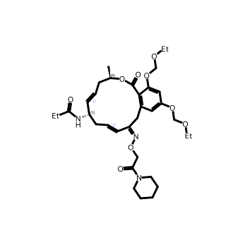 CCOCOc1cc2c(c(OCOCC)c1)C(=O)O[C@H](C)C/C=C/[C@@H](NC(=O)CC)C/C=C/C(=NOCC(=O)N1CCCCC1)C2